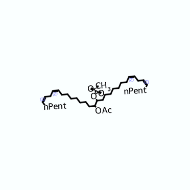 CCCCC/C=C\C/C=C\CCCCCCCC(OC(C)=O)C(CCCCCCC/C=C\C/C=C\CCCCC)OS(C)(=O)=O